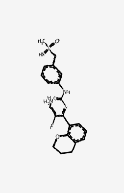 C=C(/N=C(\C(F)=C/N)c1cccc2c1OCCC2)Nc1cccc(CS(C)(=N)=O)c1